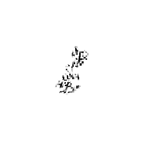 CC(=O)N1CCN([C@@H]2CCC[C@@H](NC(=O)c3cc4c(F)ccc(C)c4[nH]3)C2)C[C@@H]1C(F)(F)F